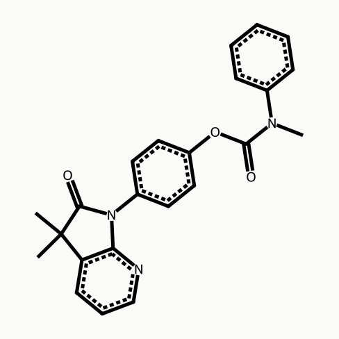 CN(C(=O)Oc1ccc(N2C(=O)C(C)(C)c3cccnc32)cc1)c1ccccc1